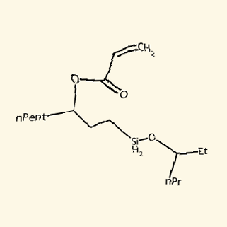 C=CC(=O)OC(CCCCC)CC[SiH2]OC(CC)CCC